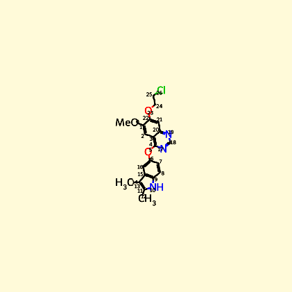 COc1cc2c(Oc3ccc4[nH]c(C)c(C)c4c3)ncnc2cc1OCCCl